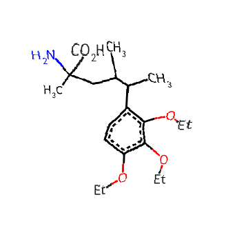 CCOc1ccc(C(C)C(C)CC(C)(N)C(=O)O)c(OCC)c1OCC